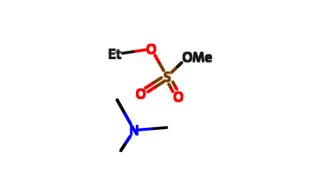 CCOS(=O)(=O)OC.CN(C)C